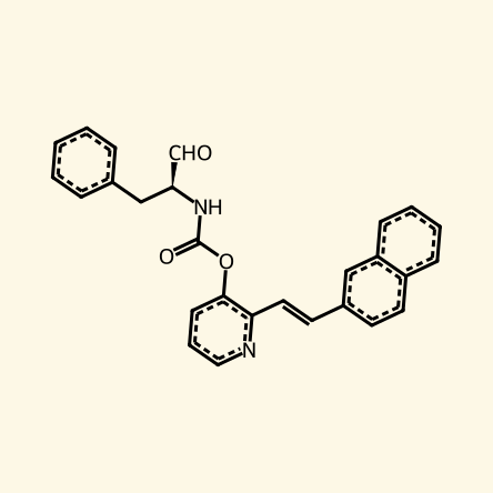 O=C[C@H](Cc1ccccc1)NC(=O)Oc1cccnc1C=Cc1ccc2ccccc2c1